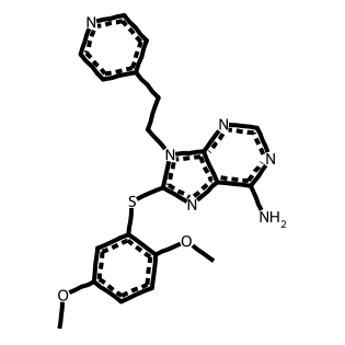 COc1ccc(OC)c(Sc2nc3c(N)ncnc3n2CCc2ccncc2)c1